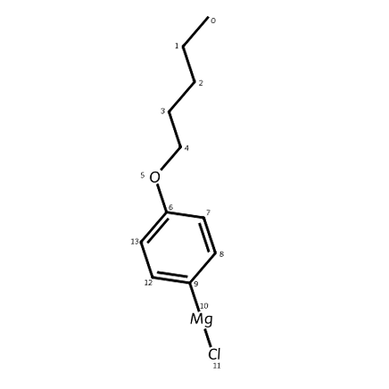 CCCCCOc1cc[c]([Mg][Cl])cc1